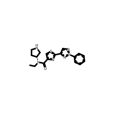 CCN(C(=O)c1csc(-c2cnn(-c3ccccc3)n2)n1)[C@@H]1CCNC1